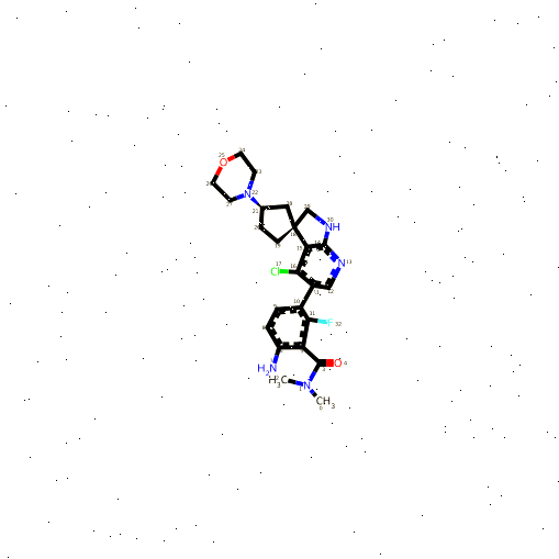 CN(C)C(=O)c1c(N)ccc(-c2cnc3c(c2Cl)[C@@]2(CC[C@@H](N4CCOCC4)C2)CN3)c1F